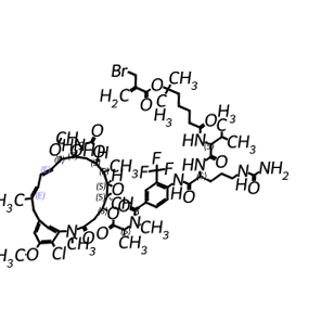 C=C(CBr)C(=O)OC(C)(C)CCCCC(=O)N[C@H](C(=O)N[C@@H](CCCNC(N)=O)C(=O)Nc1ccc(C(=O)N(C)[C@@H](C)C(=O)O[C@H]2CC(=O)N(C)c3cc(cc(OC)c3Cl)C/C(C)=C/C=C/[C@@H](OC)[C@@]3(O)C[C@H](OC(=O)N3)[C@@H](C)[C@@H]3O[C@@]23C)cc1C(F)(F)F)C(C)C